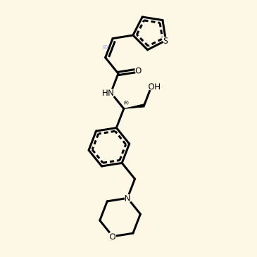 O=C(/C=C\c1ccsc1)N[C@@H](CO)c1cccc(CN2CCOCC2)c1